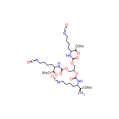 C=C(OC)C(CCCCN=C=O)NC(=O)OC(COC(=O)NC(CCCCN=C=O)C(=O)OC)COC(=O)NC(CCCCN=C=O)C(=O)OC